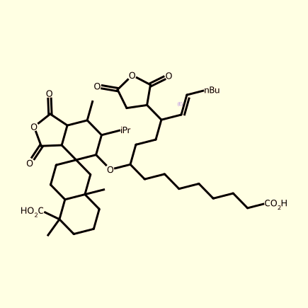 CCCC/C=C/C(CCC(CCCCCCCC(=O)O)OC1C(C(C)C)C(C)C2C(=O)OC(=O)C2C12CCC1C(C)(CCCC1(C)C(=O)O)C2)C1CC(=O)OC1=O